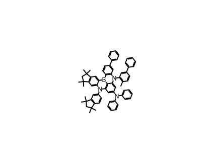 Cc1ccc(-c2ccccc2)cc1N1c2cc(-c3ccccc3)ccc2B2c3cc4c(cc3N(c3ccc5c(c3)C(C)(C)CC5(C)C)c3cc(N(c5ccccc5)c5ccccc5)cc1c32)C(C)(C)CC4(C)C